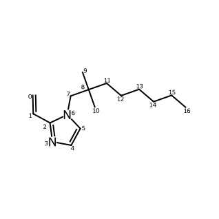 C=Cc1nccn1CC(C)(C)CCCCCC